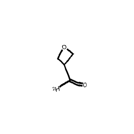 [2H]C(=O)C1COC1